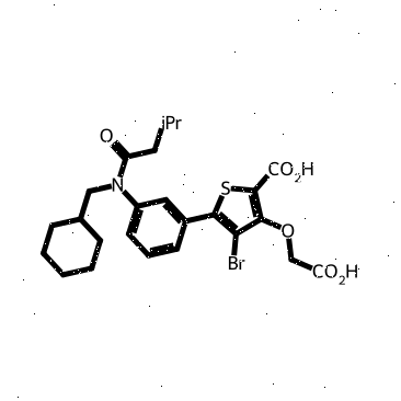 CC(C)CC(=O)N(CC1CCCCC1)c1cccc(-c2sc(C(=O)O)c(OCC(=O)O)c2Br)c1